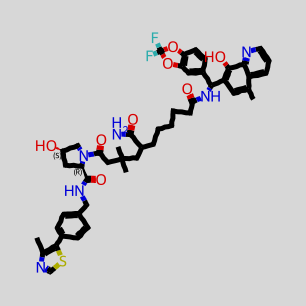 Cc1ncsc1-c1ccc(CNC(=O)[C@H]2C[C@H](O)CN2C(=O)CC(C)(C)CC(CCCCCC(=O)NC(c2ccc3c(c2)OC(F)(F)O3)c2cc(C)c3cccnc3c2O)C(N)=O)cc1